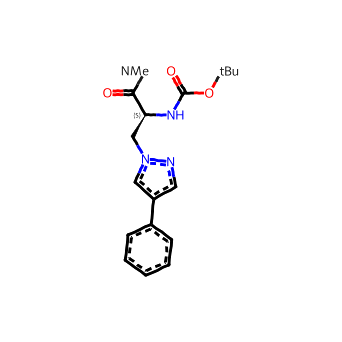 CNC(=O)[C@H](Cn1cc(-c2ccccc2)cn1)NC(=O)OC(C)(C)C